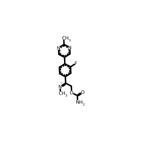 C/N=C(\COC(N)=O)c1ccc(-c2cnc(C)nc2)c(F)c1